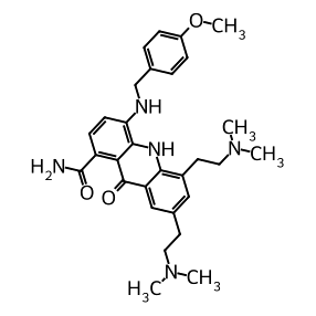 COc1ccc(CNc2ccc(C(N)=O)c3c(=O)c4cc(CCN(C)C)cc(CCN(C)C)c4[nH]c23)cc1